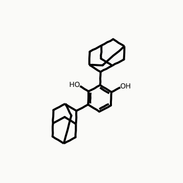 Oc1ccc(C2C3CC4CC(C3)CC2C4)c(O)c1C1C2CC3CC(C2)CC1C3